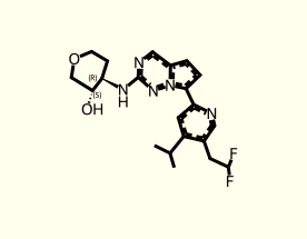 CC(C)c1cc(-c2ccc3cnc(N[C@@H]4CCOC[C@H]4O)nn23)ncc1CC(F)F